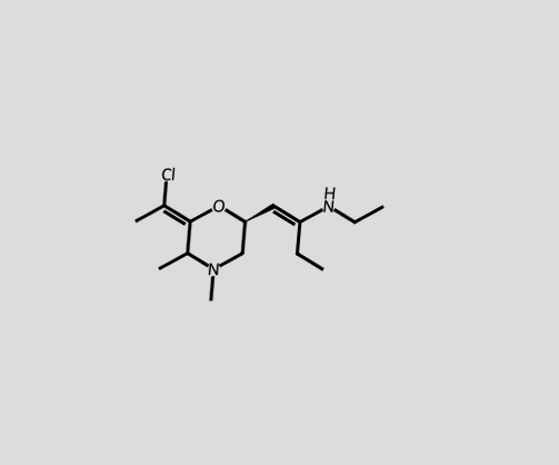 CCN/C(=C/[C@H]1CN(C)C(C)/C(=C(\C)Cl)O1)CC